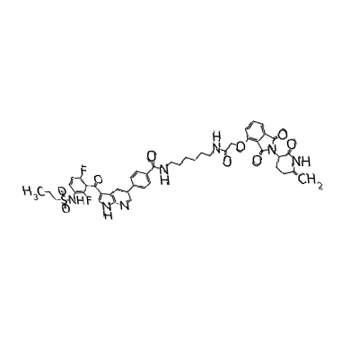 C=C1CCC(N2C(=O)c3cccc(OCC(=O)NCCCCCCNC(=O)c4ccc(-c5cnc6[nH]cc(C(=O)c7c(F)ccc(NS(=O)(=O)CCC)c7F)c6c5)cc4)c3C2=O)C(=O)N1